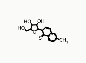 Cc1ccc2c(c1)C=CC(C1OC(CO)C(O)C1O)C2=S